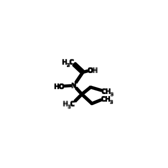 C=C(O)N(O)C(C)(CC)CC